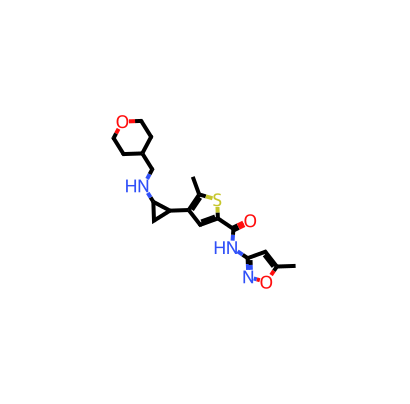 Cc1cc(NC(=O)c2cc(C3CC3NCC3CCOCC3)c(C)s2)no1